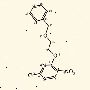 O=[N+]([O-])c1ccc(Cl)nc1OCCOCc1ccccc1